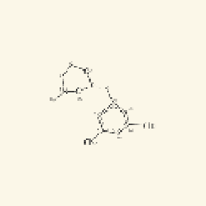 CN1CCO[C@H](Cc2cc(Cl)cc(Cl)c2)C1